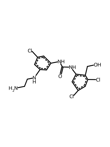 NCCNc1cc(Cl)cc(NC(=O)Nc2cc(Cl)cc(Cl)c2CO)c1